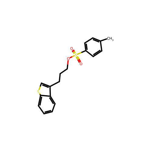 Cc1ccc(S(=O)(=O)OCCCc2csc3ccccc23)cc1